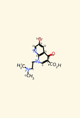 CN(C)CCn1cc(C(=O)O)c(=O)c2cc(Br)cnc21